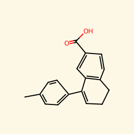 Cc1ccc(C2=CCCc3ccc(C(=O)O)cc32)cc1